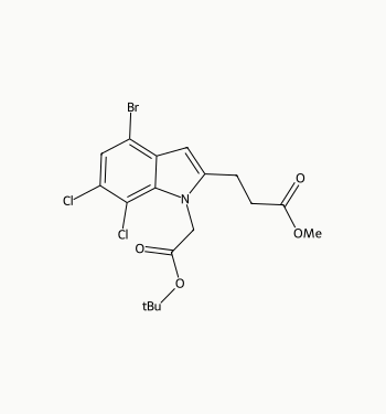 COC(=O)CCc1cc2c(Br)cc(Cl)c(Cl)c2n1CC(=O)OC(C)(C)C